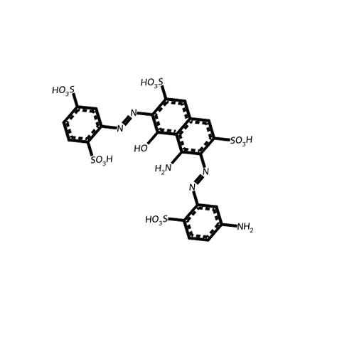 Nc1ccc(S(=O)(=O)O)c(N=Nc2c(S(=O)(=O)O)cc3cc(S(=O)(=O)O)c(N=Nc4cc(S(=O)(=O)O)ccc4S(=O)(=O)O)c(O)c3c2N)c1